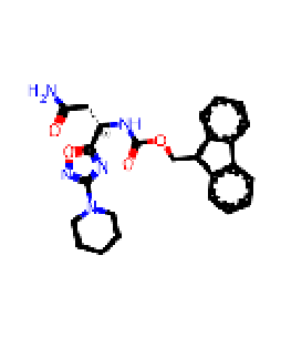 NC(=O)C[C@H](NC(=O)OCC1c2ccccc2-c2ccccc21)c1nc(N2CCCCC2)no1